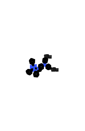 CC(C)(C)c1ccc(N(c2ccc(C(C)(C)C)cc2)c2ccc3c(c2)cc(-c2ccccc2)n3-c2nc(-c3ccccc3)nc(-c3ccccc3)n2)cc1